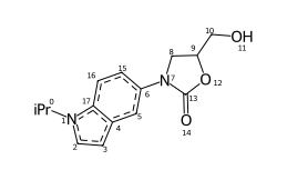 CC(C)n1ccc2cc(N3CC(CO)OC3=O)ccc21